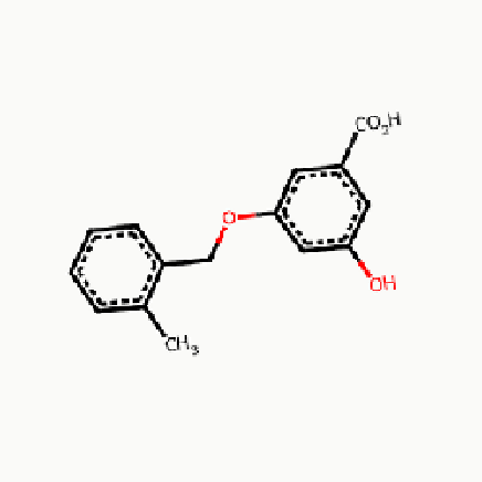 Cc1ccccc1COc1cc(O)cc(C(=O)O)c1